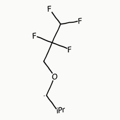 CC(C)[CH]OCC(F)(F)C(F)F